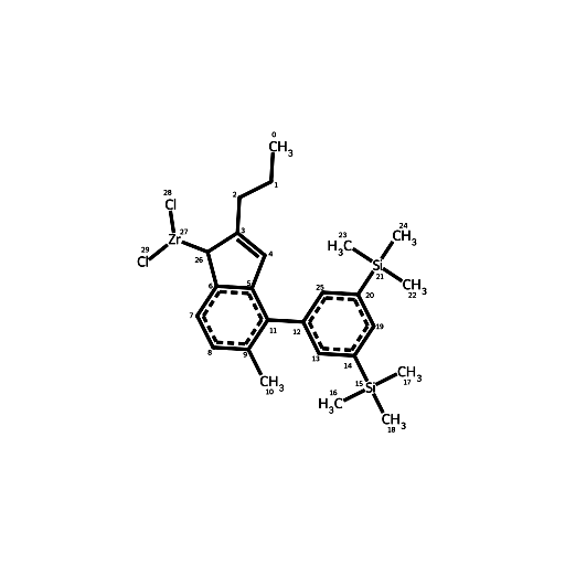 CCCC1=Cc2c(ccc(C)c2-c2cc([Si](C)(C)C)cc([Si](C)(C)C)c2)[CH]1[Zr]([Cl])[Cl]